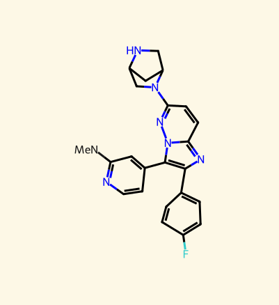 CNc1cc(-c2c(-c3ccc(F)cc3)nc3ccc(N4CC5CC4CN5)nn23)ccn1